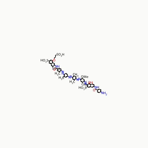 COc1cc(N=Nc2c(S(=O)(=O)O)cc3cc(NC(=O)c4ccc(N)cc4)ccc3c2O)c(OC)cc1N=Nc1cc(C)c(N=Nc2ccc(N=Nc3ccc(C(=O)Nc4cc5c(OCCCS(=O)(=O)O)cc(S(=O)(=O)O)cc5cc4S(=O)(=O)O)cc3C)c(C)c2)cc1C